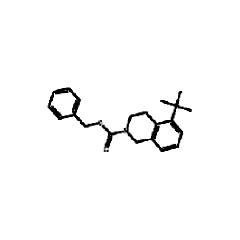 CC(C)(C)c1cccc2c1CCN(C(=O)OCc1ccccc1)C2